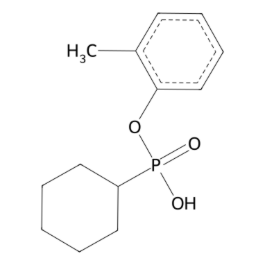 Cc1ccccc1OP(=O)(O)C1CCCCC1